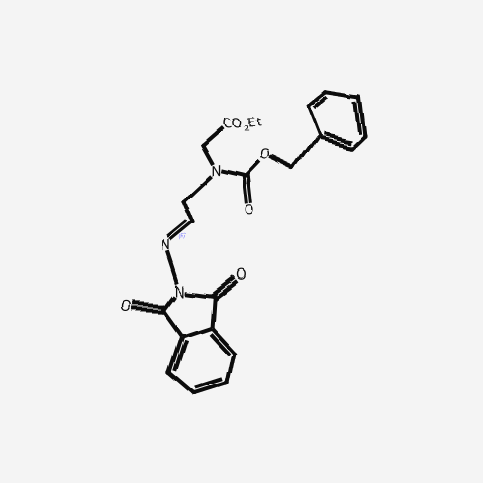 CCOC(=O)CN(C/C=N/N1C(=O)c2ccccc2C1=O)C(=O)OCc1ccccc1